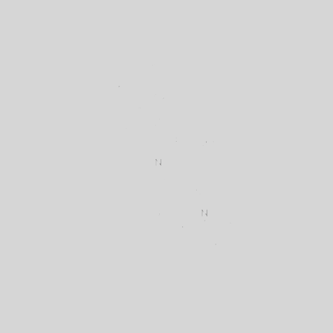 CCCCc1cn(C(C)(C)C)s/c1=N\C(=O)C1C(C)(C)C1(C)C